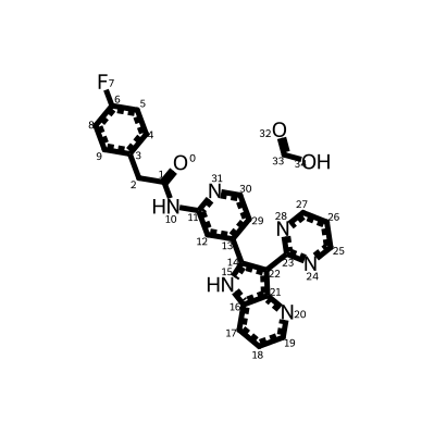 O=C(Cc1ccc(F)cc1)Nc1cc(-c2[nH]c3cccnc3c2-c2ncccn2)ccn1.O=CO